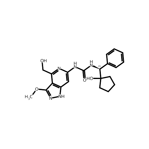 COc1n[nH]c2cc(NC(=O)N[C@@H](c3ccccc3)C3(O)CCCC3)nc(CO)c12